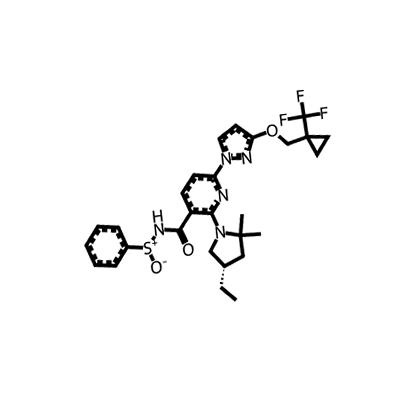 CC[C@@H]1CN(c2nc(-n3ccc(OCC4(C(F)(F)F)CC4)n3)ccc2C(=O)N[S+]([O-])c2ccccc2)C(C)(C)C1